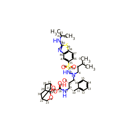 CC(C)CCN(C[C@@H](O)[C@H](Cc1ccccc1)NC(=O)O[C@H]1C2COC3OC1CC3C2)NS(=O)(=O)c1ccc2sc(NC(C)C)nc2c1